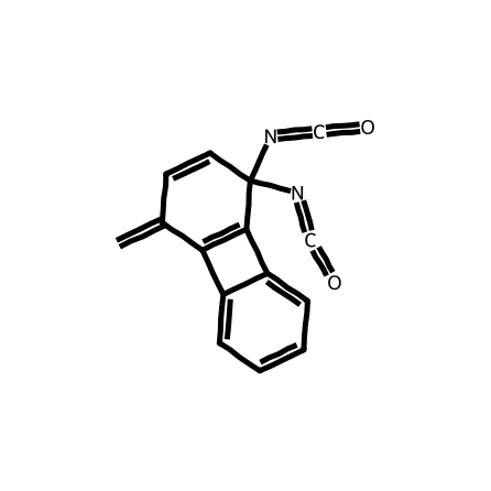 C=C1C=CC(N=C=O)(N=C=O)C2=C1c1ccccc12